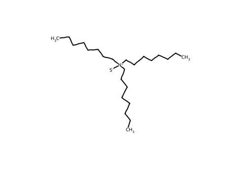 CCCCCCCC[N+]([S-])(CCCCCCCC)CCCCCCCC